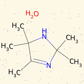 CC1=NC(C)(C)NC1(C)C.O